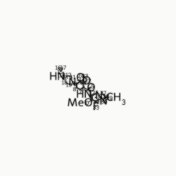 COc1c(NC(=O)c2ccc(N3CCC(NC4CC4)CC3)c3c2OCO3)cn2cc(C)nc2c1F